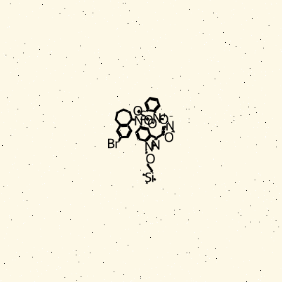 C[Si](C)(C)CCOCn1nc(-c2cnco2)c2cc(N(C3CCCCc4cc(Br)ccc43)S(=O)(=O)c3ccccc3[N+](=O)[O-])ccc21